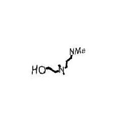 CNCCC[N+](C)(C)CCO